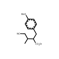 CCOC(=O)C(Cc1ccc(SC)cc1)C(C)CC#N